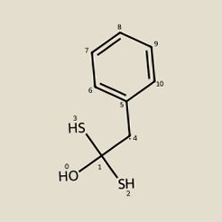 OC(S)(S)[CH]c1ccccc1